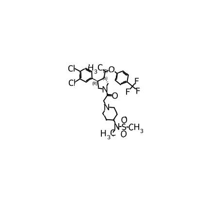 C[C@@H](Oc1ccc(C(F)(F)F)cc1)[C@@H]1CN(C(=O)CN2CCC(N(C)S(C)(=O)=O)CC2)C[C@H]1c1ccc(Cl)c(Cl)c1